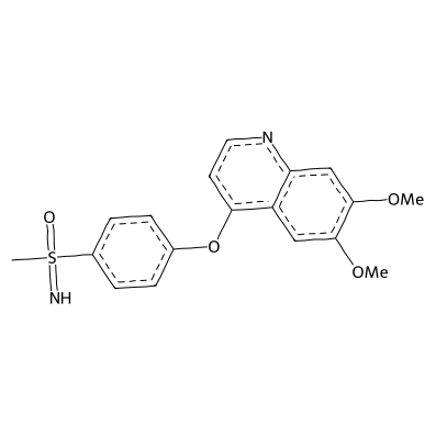 COc1cc2nccc(Oc3ccc(S(C)(=N)=O)cc3)c2cc1OC